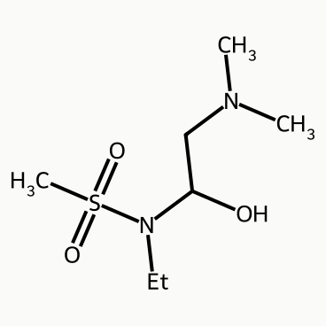 CCN(C(O)CN(C)C)S(C)(=O)=O